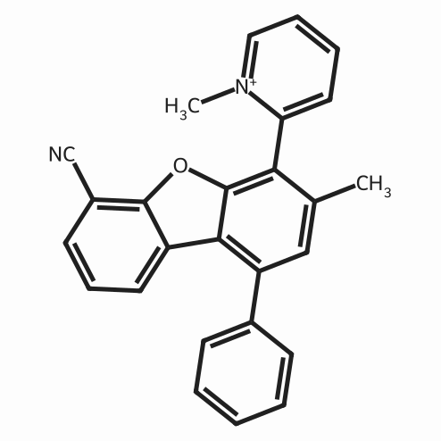 Cc1cc(-c2ccccc2)c2c(oc3c(C#N)cccc32)c1-c1cccc[n+]1C